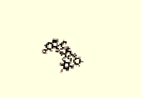 CCC(C(=O)NC(CC(=O)OC1CCCCC1)C(=O)COc1c(F)c(F)cc(F)c1F)n1ccc2ccc(Cl)cc2c1=O